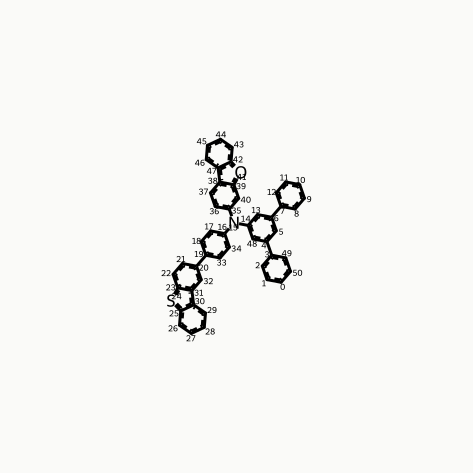 c1ccc(-c2cc(-c3ccccc3)cc(N(c3ccc(-c4ccc5sc6ccccc6c5c4)cc3)c3ccc4c(c3)oc3ccccc34)c2)cc1